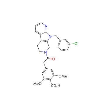 COc1cc(CC(=O)N2CCc3c(n(Cc4cccc(Cl)c4)c4ncccc34)C2)cc(OC)c1C(=O)O